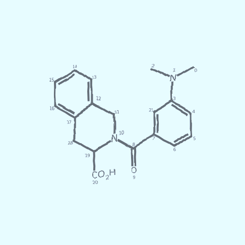 CN(C)c1cccc(C(=O)N2Cc3ccccc3CC2C(=O)O)c1